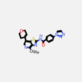 COc1ncc(C2=CCOCC2)c2sc(NC(=O)c3ccc(-n4ccnn4)cc3)nc12